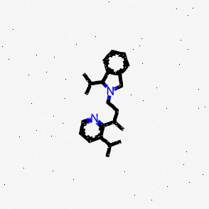 CC(C)c1cccnc1C(C)CCN1Cc2ccccc2C1C(C)C